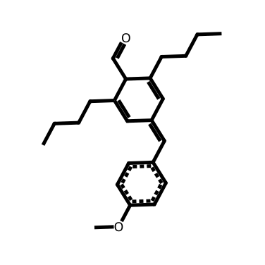 CCCCC1=CC(=Cc2ccc(OC)cc2)C=C(CCCC)C1C=O